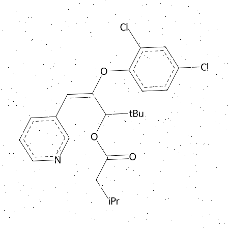 CC(C)CC(=O)OC(/C(=C\c1cccnc1)Oc1ccc(Cl)cc1Cl)C(C)(C)C